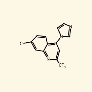 FC(F)(F)c1cc(-n2ccnc2)c2ccc(Cl)cc2n1